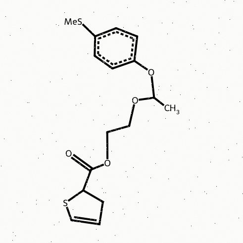 CSc1ccc(OC(C)OCCOC(=O)C2CC=CS2)cc1